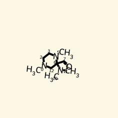 CN1CCN(C)C(C=O)(N(C)C)C1